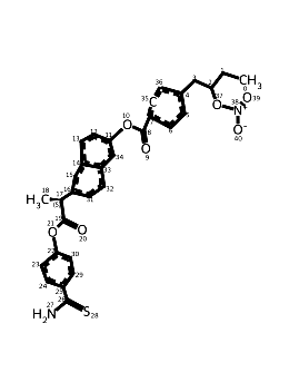 CCC(Cc1ccc(C(=O)Oc2ccc3cc([C@H](C)C(=O)Oc4ccc(C(N)=S)cc4)ccc3c2)cc1)O[N+](=O)[O-]